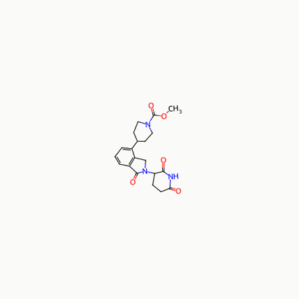 COC(=O)N1CCC(c2cccc3c2CN(C2CCC(=O)NC2=O)C3=O)CC1